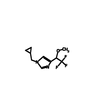 COC(c1cn(CC2CC2)cn1)C(F)(F)F